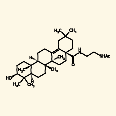 CC(=O)NCCNC(=O)[C@]12CCC(C)(C)CC1=C1CC[C@@H]3[C@@]4(C)CC[C@H](O)C(C)(C)[C@@H]4CC[C@@]3(C)[C@]1(C)CC2